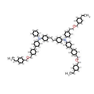 C=Cc1ccc(COCCc2ccc(N(c3ccc(CCc4ccc(N(c5ccccc5)c5ccc(-c6ccc(COCc7ccc(C=C)cc7)cc6)cc5)cc4)cc3)c3ccc(-c4ccc(COCc5ccc(C=C)cc5)cc4)cc3)cc2)cc1